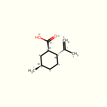 C=C(C)[C@@H]1CC[C@@H](C)C[C@H]1C(=O)O